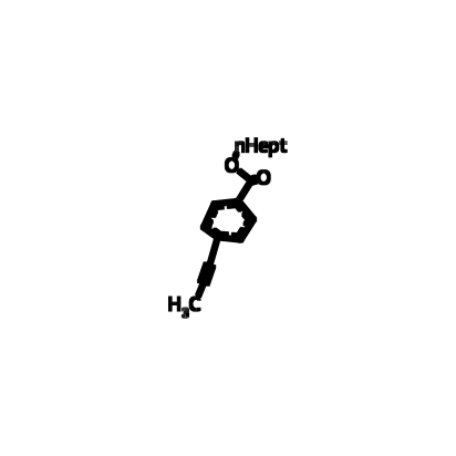 CC#Cc1ccc(C(=O)OCCCCCCC)cc1